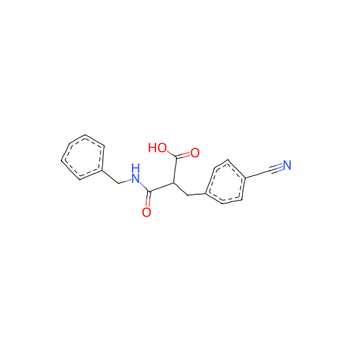 N#Cc1ccc(CC(C(=O)O)C(=O)NCc2ccccc2)cc1